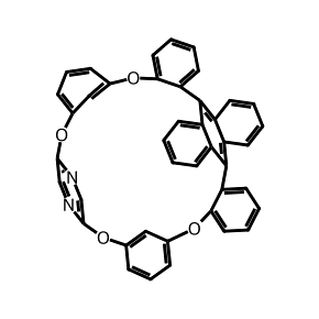 c1cc2cc(c1)oc1ccccc1c1c3ccccc3c(c3ccccc3oc3cccc(c3)oc3cnc(cn3)o2)c2ccccc21